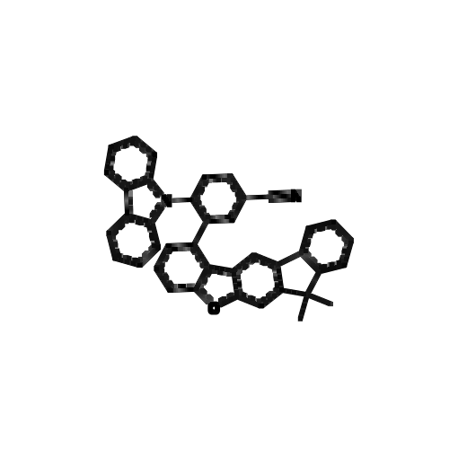 CC1(C)c2ccccc2-c2cc3c(cc21)oc1cccc(-c2cc(C#N)ccc2-n2c4ccccc4c4ccccc42)c13